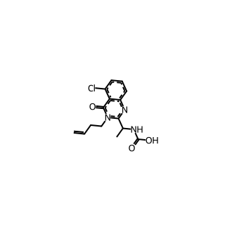 C=CCCn1c(C(C)NC(=O)O)nc2cccc(Cl)c2c1=O